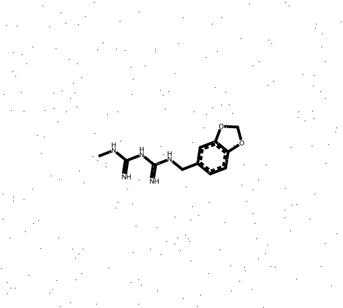 CNC(=N)NC(=N)NCc1ccc2c(c1)OCO2